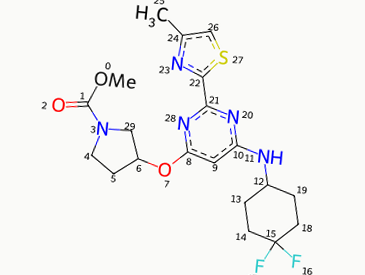 COC(=O)N1CCC(Oc2cc(NC3CCC(F)(F)CC3)nc(-c3nc(C)cs3)n2)C1